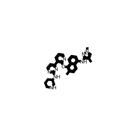 Cc1cn(C)nc1Nc1cccc2c(Oc3ncccc3-c3ccnc(NC4CCCNC4)n3)c(C)ccc12